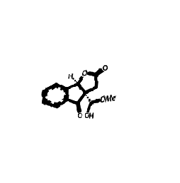 COC(O)[C@@]12CC(=O)O[C@@H]1c1ccccc1C2=O